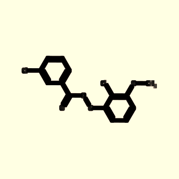 COc1cccc(OOC(=O)c2cccc(Cl)c2)c1Cl